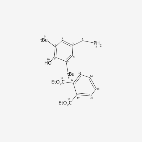 CC(C)(C)c1cc(CP)cc(C(C)(C)C)c1O.CCOC(=O)c1ccccc1C(=O)OCC